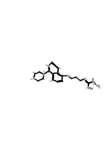 CS/C(=N\CCCOc1cccc2c(N3CCOCC3)nccc12)NC#N